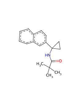 CC(C)(C)C(=O)NC1(c2ccc3ccccc3c2)CC1